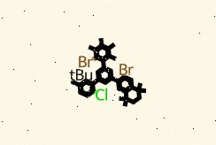 Cc1c(C)c(C)c(-c2cc(-c3cc(CC(C)(C)C)ccc3Cl)cc(-c3cc4c(cc3Br)C(C)(C)CCC4(C)C)c2)c(Br)c1C